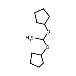 [SiH3]C(OC1CCCC1)OC1CCCC1